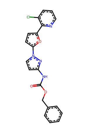 O=C(Nc1ccn(-c2ccc(-c3ncccc3Cl)o2)n1)OCc1ccccc1